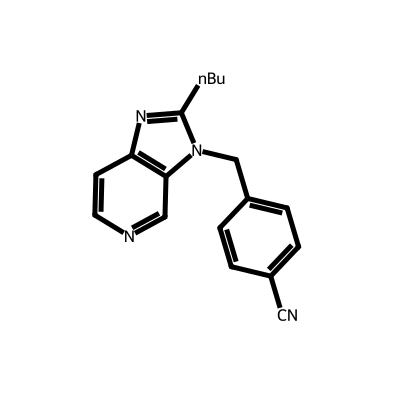 CCCCc1nc2ccncc2n1Cc1ccc(C#N)cc1